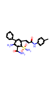 Cc1ccc(NC(=O)/C=C/c2cc(-c3ccccc3)c(N)c(C(N)=O)c2S(N)(=O)=O)cc1